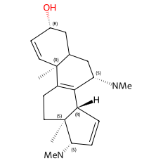 CN[C@H]1CC2C[C@@H](O)C=C[C@]2(C)C2=C1[C@@H]1C=C[C@H](NC)[C@@]1(C)CC2